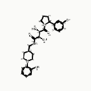 N#Cc1ccccc1N1CCC(CNC(=O)[C@H](O)[C@@H](O)C(=O)N2CCCC2c2cccc(Cl)c2)CC1